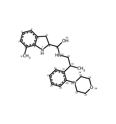 Cc1cccc2c1NC(C(O)NCC(C)c1ccccc1N1CCOCC1)C2